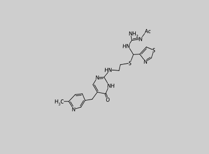 CC(=O)N=C(N)NC(SCCNc1ncc(Cc2ccc(C)nc2)c(=O)[nH]1)c1cscn1